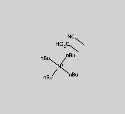 CC#N.CC(=O)O.CCCC[N+](CCCC)(CCCC)CCCC